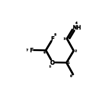 CC(CC=N)OC(F)F